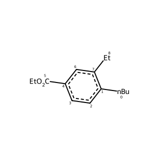 CCCCc1ccc(C(=O)OCC)cc1CC